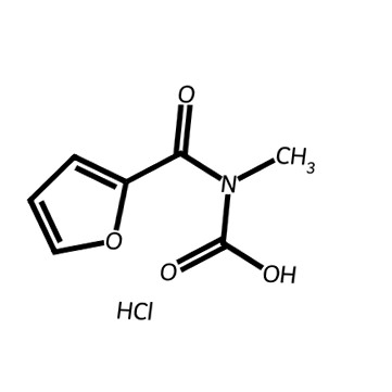 CN(C(=O)O)C(=O)c1ccco1.Cl